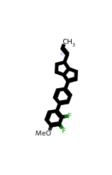 C/C=C/C1CCC2C(c3ccc(-c4ccc(OC)c(F)c4F)cc3)=CCC12